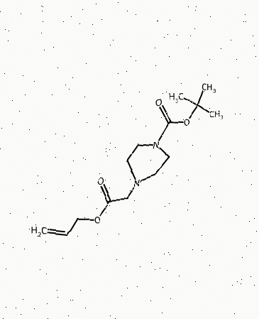 C=CCOC(=O)CN1CCN(C(=O)OC(C)(C)C)CC1